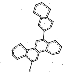 Brc1cc2c3ccccc3c(-c3ccc4ccccc4c3)cc2c2ccccc12